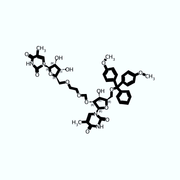 COc1ccc(C(OC[C@H]2O[C@@H](n3cc(C)c(=O)[nH]c3=O)[C@H](OCOCCOC[C@H]3O[C@@H](n4cc(C)c(=O)[nH]c4=O)[C@H](O)[C@@H]3O)[C@@H]2O)(c2ccccc2)c2ccc(OC)cc2)cc1